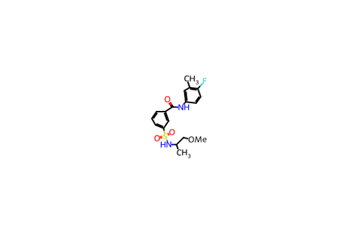 COCC(C)NS(=O)(=O)c1cccc(C(=O)Nc2ccc(F)c(C)c2)c1